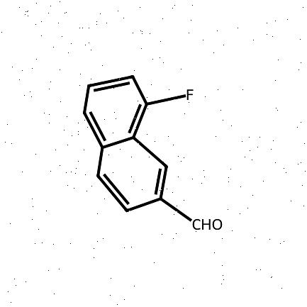 O=Cc1ccc2cccc(F)c2c1